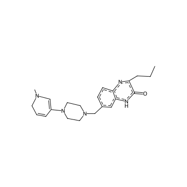 CCCc1nc2ccc(CN3CCN(C4=CN(C)CC=C4)CC3)cc2[nH]c1=O